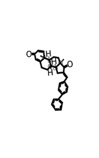 C[C@]12C=CC(=O)C=C1CC[C@@H]1[C@@H]2CC[C@]2(C)C(=O)C(=Cc3ccc(-c4ccccc4)cc3)C[C@@H]12